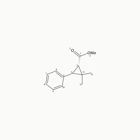 COC(=O)[C@H]1C(c2ccccc2)C1(C)C